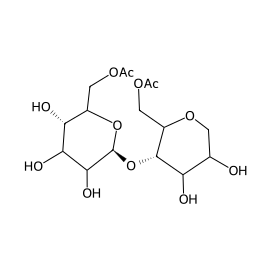 CC(=O)OCC1O[C@@H](O[C@@H]2C(COC(C)=O)OCC(O)C2O)C(O)C(O)[C@@H]1O